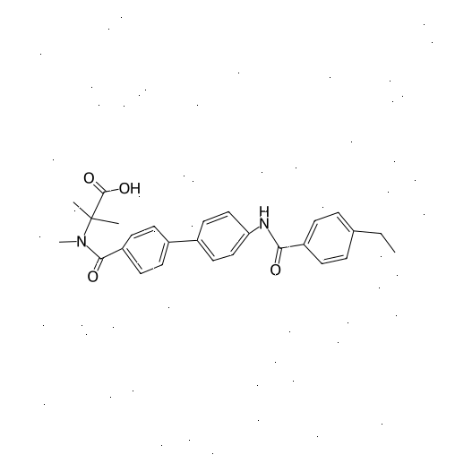 CCc1ccc(C(=O)Nc2ccc(-c3ccc(C(=O)N(C)C(C)(C)C(=O)O)cc3)cc2)cc1